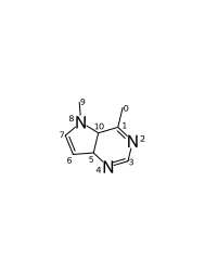 CC1=NC=NC2C=CN(C)C12